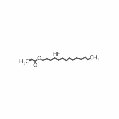 C=CC(=O)OCCCCCCCCCCCCCC.F